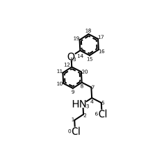 ClCCNC(CCl)Cc1cccc(Oc2ccccc2)c1